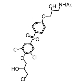 CC(=O)NCC(O)COc1ccc(S(=O)(=O)c2cc(Cl)c(OCC(O)CCl)c(Cl)c2)cc1